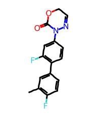 Cc1cc(-c2ccc(N3N=CCOC3=O)cc2F)ccc1F